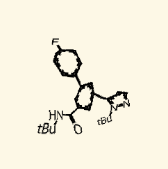 CC(C)(C)NC(=O)c1cc(-c2ccc(F)cc2)cc(-c2ccnn2C(C)(C)C)c1